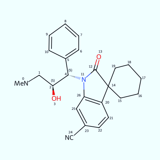 CNC[C@H](O)[C@H](c1ccccc1)N1C(=O)C2(CCCCC2)c2ccc(C#N)cc21